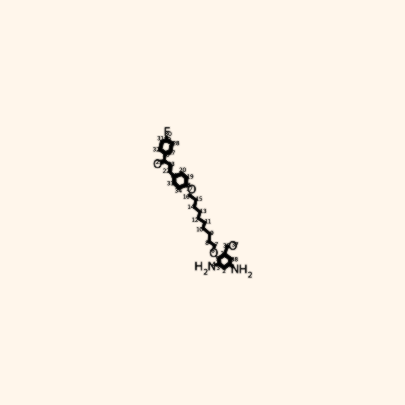 Nc1cc(N)c(OCCCCCCCCCCOc2ccc(C=CC(=O)c3ccc(F)cc3)cc2)c([C]=O)c1